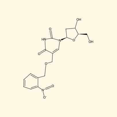 O=c1[nH]c(=O)n([C@H]2CC(O)[C@@H](CO)O2)cc1COCc1ccccc1[N+](=O)[O-]